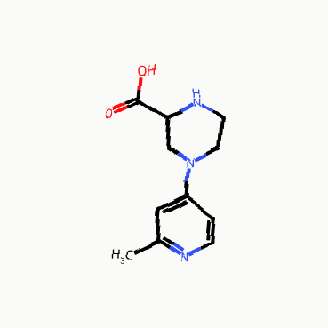 Cc1cc(N2CCNC(C(=O)O)C2)ccn1